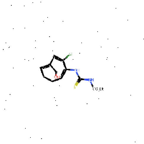 CCOC(=O)NC(=S)NC1=C/CC/C=C(CO)/C=C\1Cl